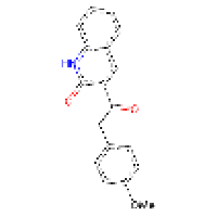 COc1ccc(CC(=O)c2cc3ccccc3[nH]c2=O)cc1